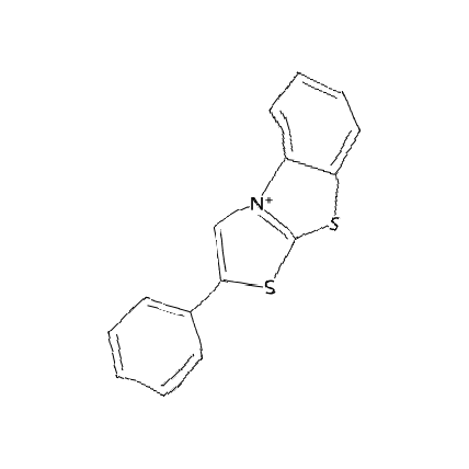 c1ccc(-c2c[n+]3c(s2)sc2ccccc23)cc1